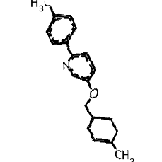 CC1=CCC(COc2ccc(-c3ccc(C)cc3)nc2)CC1